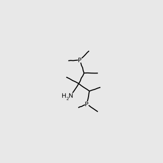 CC(P(C)C)C(C)(N)C(C)P(C)C